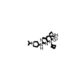 CC(C)N1CCC(Nc2ncc3c(n2)N(C24CC(C2)C4)C(=O)[C@]2(CCNC2=O)C3)CC1